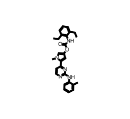 CCc1cccc(CC)c1NC(=O)Oc1cc(-c2ccnc(Nc3ccccc3C)n2)n(C)c1